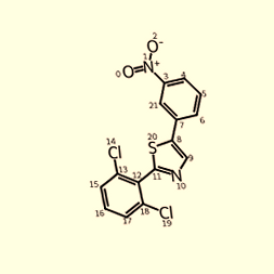 O=[N+]([O-])c1cccc(-c2cnc(-c3c(Cl)cccc3Cl)s2)c1